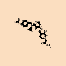 NC(=O)CN1CCC(CNc2ncnc(N(Cc3ccc(OC(F)F)cc3)C3CC3)c2F)[C@@H](O)C1